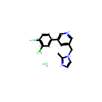 Cc1nccn1Cc1cncc(-c2ccc(F)c(Cl)c2)c1.Cl